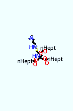 CCCCCCCC(=O)OCC(COC(=O)CCCCCCC)(COC(=O)CCCCCCC)NCCSNCCCN(C)C